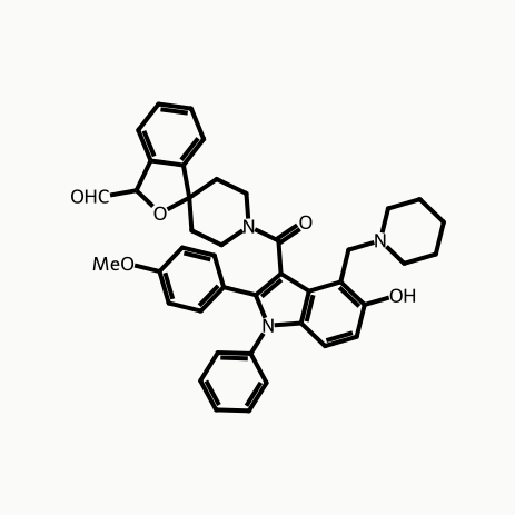 COc1ccc(-c2c(C(=O)N3CCC4(CC3)OC(C=O)c3ccccc34)c3c(CN4CCCCC4)c(O)ccc3n2-c2ccccc2)cc1